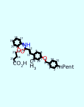 CCCCCc1ccc(COc2ccc(C=CC(=O)Nc3ccccc3OCCCC(=O)O)c(C)c2)cc1